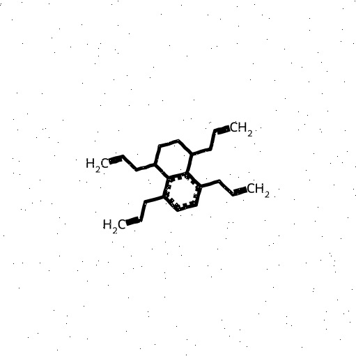 C=CCc1ccc(CC=C)c2c1C(CC=C)CCC2CC=C